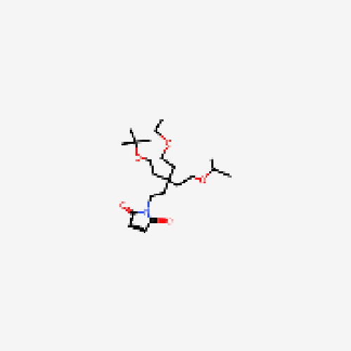 CCOCCC(CCOC(C)C)(CCOC(C)(C)C)CCN1C(=O)C=CC1=O